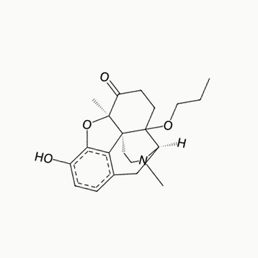 CCCOC12CCC(=O)[C@]3(C)Oc4c(O)ccc5c4[C@]13CCN(C)[C@@H]2C5